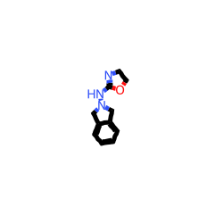 c1ccc2c(c1)CN(NC1=NCCO1)C2